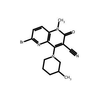 CC1CCCN(c2c(C#N)c(=O)n(C)c3ccc(Br)nc23)C1